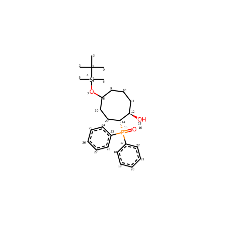 CC(C)(C)[Si](C)(C)OC1CCC[C@@H](O)[C@H](P(=O)(c2ccccc2)c2ccccc2)CC1